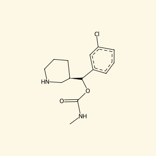 CNC(=O)OC(c1cccc(Cl)c1)[C@@H]1CCCNC1